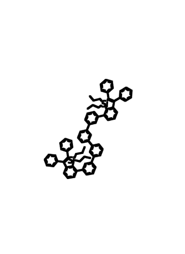 CCC[Si]1(CCC)C(c2ccccc2)=C(c2ccccc2)c2cccc(-c3cccc(-c4cccc(-c5cccc(-c6cccc(-c7cccc8c7[Si](CCC)(CCC)C(c7ccccc7)=C8c7ccccc7)c6)c5)c4)c3)c21